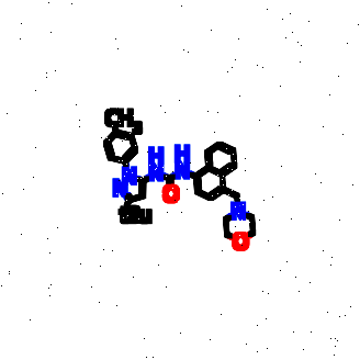 Cc1ccc(-n2nc(C(C)(C)C)cc2NC(=O)Nc2ccc(CN3CCOCC3)c3ccccc23)cc1